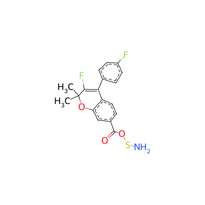 CC1(C)Oc2cc(C(=O)OSN)ccc2C(c2ccc(F)cc2)=C1F